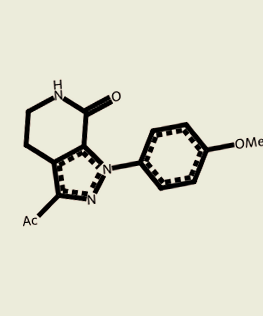 COc1ccc(-n2nc(C(C)=O)c3c2C(=O)NCC3)cc1